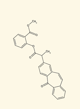 COC(=O)c1ccccc1OC(=O)C(C)c1ccc2c(=O)c3ccccc3ccc2c1